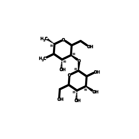 CC1[C@H](C)OC(CO)[C@@H](O[C@@H]2OC(CO)[C@@H](O)[C@H](O)C2O)[C@@H]1O